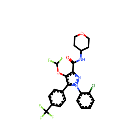 O=C(NC1CCOCC1)c1nn(-c2ccccc2Cl)c(-c2ccc(C(F)(F)F)cc2)c1OC(F)F